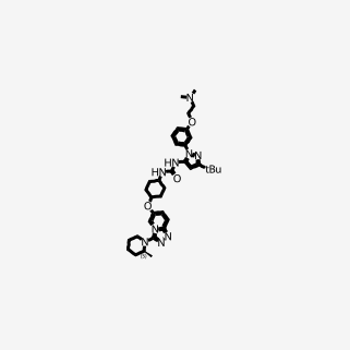 C[C@H]1CCCCN1c1nnc2ccc(OC3CCC(NC(=O)Nc4cc(C(C)(C)C)nn4-c4cccc(OCCN(C)C)c4)CC3)cn12